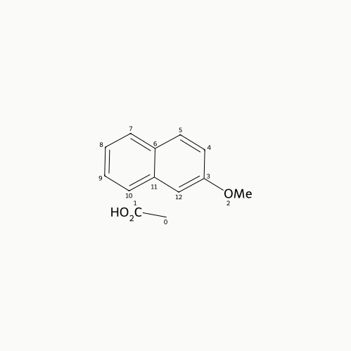 CC(=O)O.COc1ccc2ccccc2c1